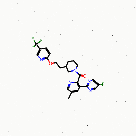 Cc1cnc(C(=O)N2CCCC(CCOc3ccc(C(F)(F)F)cn3)C2)c(-c2ncc(F)cn2)c1